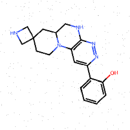 Oc1ccccc1-c1cc2c(nn1)NCC1CC3(CCN21)CNC3